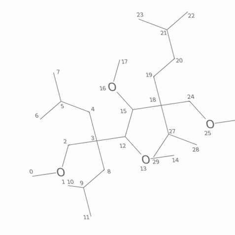 COCC(CC(C)C)(CC(C)C)C(OC)C(OC)C(CCC(C)C)(COC)C(C)C